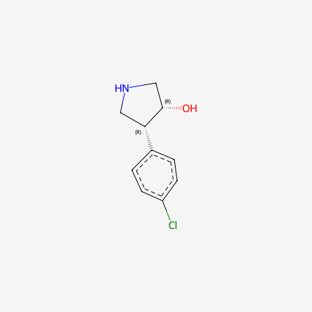 O[C@H]1CNC[C@H]1c1ccc(Cl)cc1